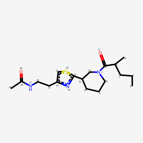 CCCC(C)C(=O)N1CCCC(c2nc(CCNC(C)=O)cs2)C1